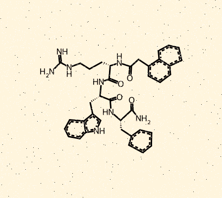 N=C(N)NCCC[C@H](NC(=O)Cc1cccc2ccccc12)C(=O)N[C@@H](Cc1c[nH]c2ccccc12)C(=O)N[C@@H](Cc1ccccc1)C(N)=O